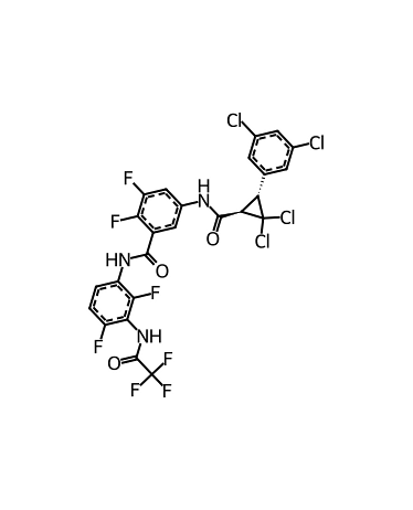 O=C(Nc1ccc(F)c(NC(=O)C(F)(F)F)c1F)c1cc(NC(=O)[C@H]2[C@H](c3cc(Cl)cc(Cl)c3)C2(Cl)Cl)cc(F)c1F